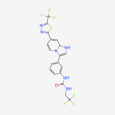 O=C(NCC(F)(F)F)Nc1cccc(C2=CNC3C=C(c4nnc(C(F)(F)F)s4)C=CN23)c1